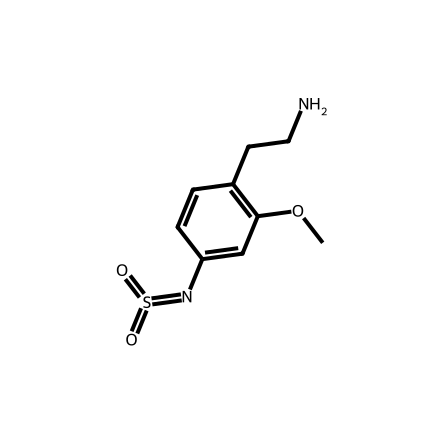 COc1cc(N=S(=O)=O)ccc1CCN